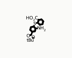 CC(C)(C)OC(=O)c1ccc(Sc2ccccc2C(=O)O)c(N)c1